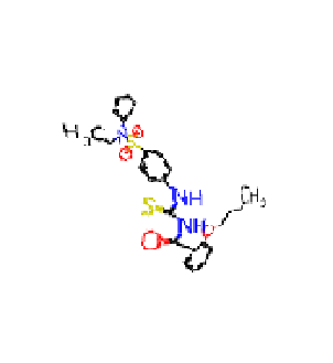 CCCCOc1ccccc1C(=O)NC(=S)Nc1ccc(S(=O)(=O)N(CC)c2ccccc2)cc1